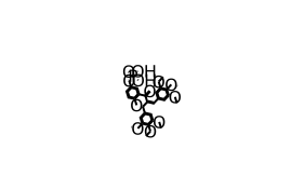 COc1cc(C=C2C(=O)c3cc(OP(=O)(O)O)ccc3OC2c2cc(OC)c(OC)c(OC)c2)cc(OC)c1OC